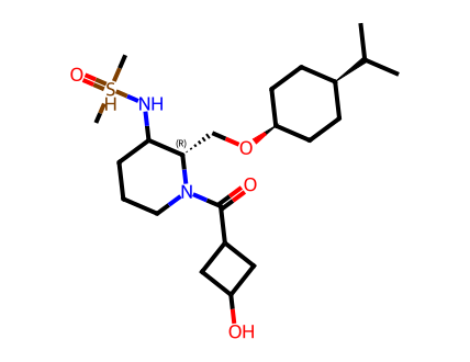 CC(C)[C@H]1CC[C@@H](OC[C@H]2C(N[SH](C)(C)=O)CCCN2C(=O)C2CC(O)C2)CC1